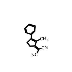 CC1=C(c2ccccc2)CCC1=C(C#N)C#N